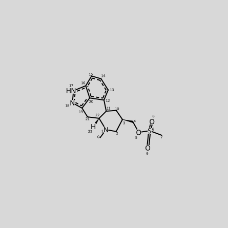 CN1C[C@H](COS(C)(=O)=O)CC2c3cccc4[nH]nc(c34)C[C@H]21